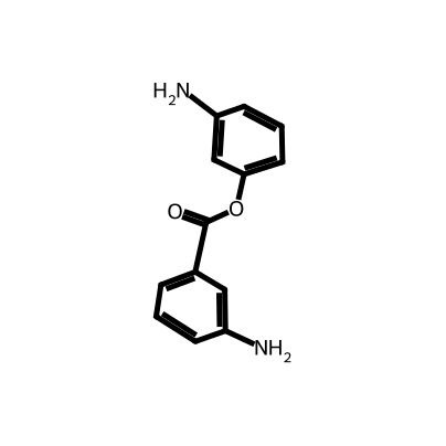 Nc1cccc(OC(=O)c2cccc(N)c2)c1